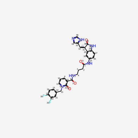 O=C(CCCNC(=O)c1cccn(Cc2ccc(F)c(F)c2)c1=O)Nc1ccc2c(c1)/C(=C/c1cnc[nH]1)C(=O)N2